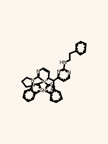 N#CC(c1ccnc(NCCc2ccccc2)n1)C1C=CN=C(N2CCCC2)[N+]1(c1nc2ccccc2s1)c1nc2ccccc2s1